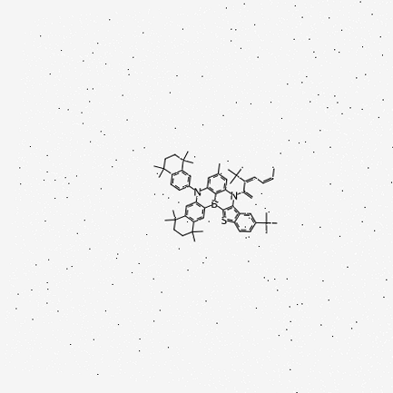 C=C(/C(=C\C=C/C)C(C)(C)C)N1c2cc(C)cc3c2B(c2cc4c(cc2N3c2ccc3c(c2)C(C)(C)CCC3(C)C)C(C)(C)CCC4(C)C)c2sc3ccc(C(C)(C)C)cc3c21